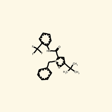 CC(C)(C)c1cc(C(=O)Nc2ccccc2C(F)(F)F)n(Cc2ccccc2)n1